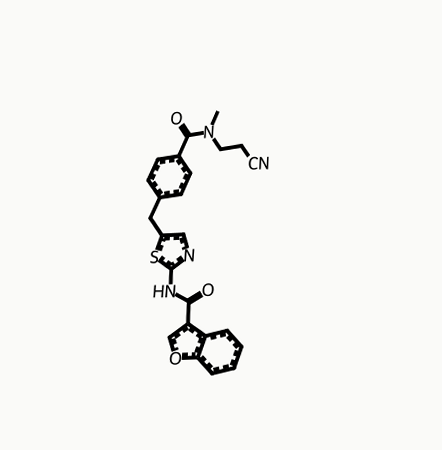 CN(CCC#N)C(=O)c1ccc(Cc2cnc(NC(=O)c3coc4ccccc34)s2)cc1